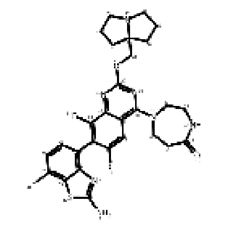 Nc1nc2c(-c3c(Cl)cc4c(N5CCNC(=O)CC5)nc(OCC56CCCN5CCC6)nc4c3F)ccc(F)c2s1